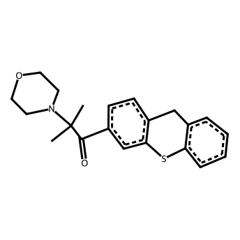 CC(C)(C(=O)c1ccc2c(c1)Sc1ccccc1C2)N1CCOCC1